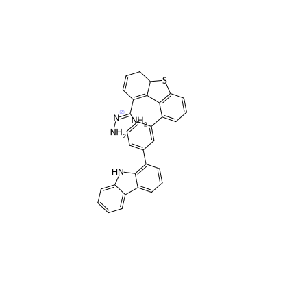 N/N=C(\N)C1=C2c3c(cccc3-c3cccc(-c4cccc5c4[nH]c4ccccc45)c3)SC2CC=C1